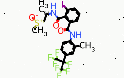 Cc1cc(C(F)(C(F)(F)F)C(F)(F)F)ccc1NC(=O)c1cccc(I)c1C(=O)N[C@@H](C)C[S+](C)[O-]